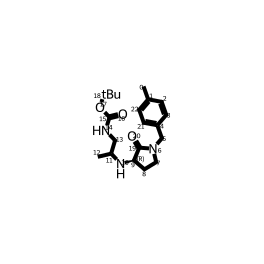 Cc1ccc(CN2CC[C@@H](NC(C)CNC(=O)OC(C)(C)C)C2=O)cc1